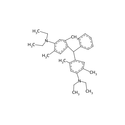 CCN(CC)c1cc(C)c(C(c2ccccc2)c2cc(C)c(N(CC)CC)cc2C)cc1C